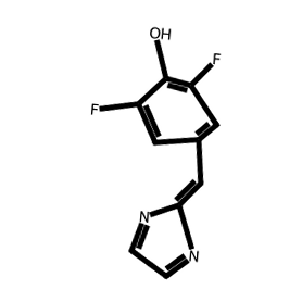 Oc1c(F)cc(C=C2N=CC=N2)cc1F